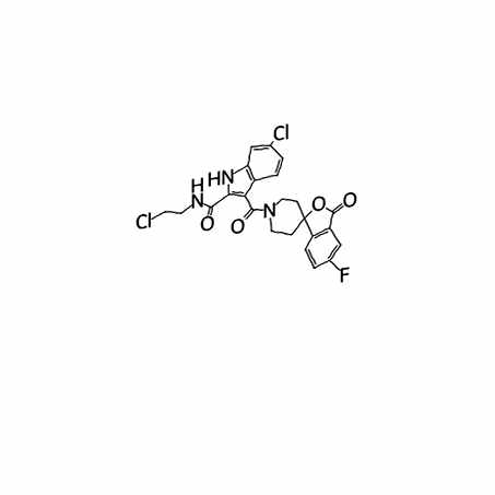 O=C1OC2(CCN(C(=O)c3c(C(=O)NCCCl)[nH]c4cc(Cl)ccc34)CC2)c2ccc(F)cc21